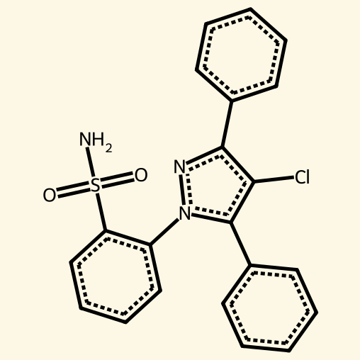 NS(=O)(=O)c1ccccc1-n1nc(-c2ccccc2)c(Cl)c1-c1ccccc1